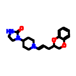 O=C1NCCN1C1CCN(/C=C/CC2COc3ccccc3O2)CC1